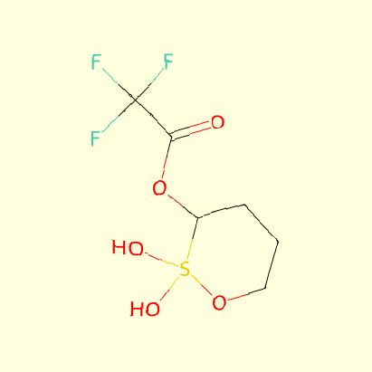 O=C(OC1CCCOS1(O)O)C(F)(F)F